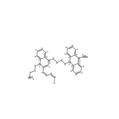 BCCCN1C(/C=C\C=C/C)=CN(CCCCN2c3ccccc3N(CCCC)c3ccccc32)c2ccccc21